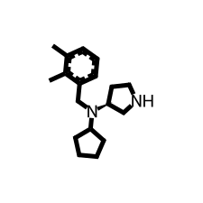 Cc1cccc(CN(C2CCCC2)[C@H]2CCNC2)c1C